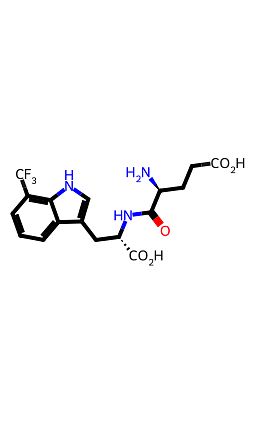 N[C@@H](CCC(=O)O)C(=O)N[C@@H](Cc1c[nH]c2c(C(F)(F)F)cccc12)C(=O)O